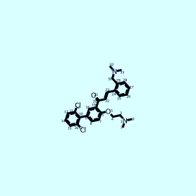 CN(C)CCOc1ccc(-c2c(Cl)cccc2Cl)cc1C(=O)C=Cc1ccccc1CN(C)C